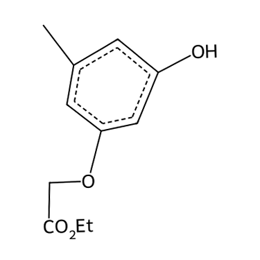 CCOC(=O)COc1cc(C)cc(O)c1